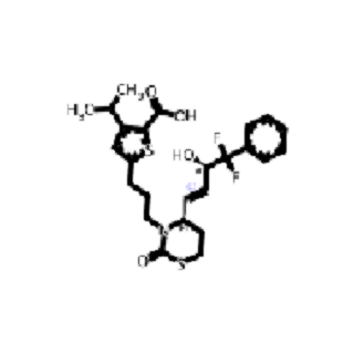 CC(C)c1cc(CCCN2C(=O)SCC[C@@H]2/C=C/[C@@H](O)C(F)(F)c2ccccc2)sc1C(=O)O